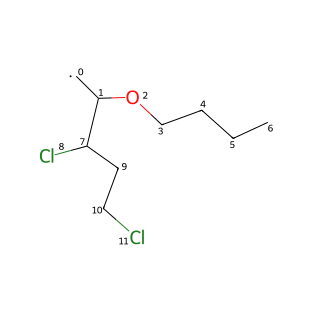 [CH2]C(OCCCC)C(Cl)CCCl